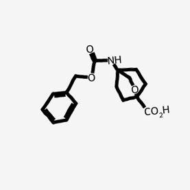 O=C(NC12CCC(C(=O)O)(CC1)OC2)OCc1ccccc1